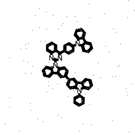 c1ccc(-n2c3ccccc3c3cc(-c4ccc5c(c4)c4ccccc4n5-c4nc(-c5ccc(-n6c7ccccc7c7ccccc76)cc5)c5ccccc5n4)ccc32)cc1